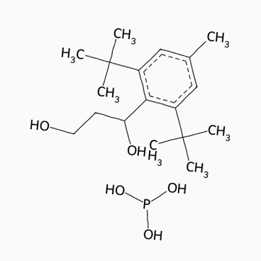 Cc1cc(C(C)(C)C)c(C(O)CCO)c(C(C)(C)C)c1.OP(O)O